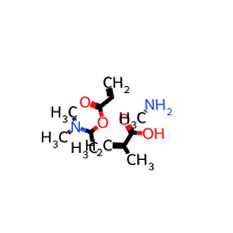 C=C(C)C(=O)O.C=CC(=O)OC(C)N(C)C.CN